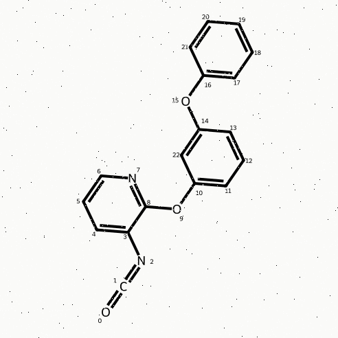 O=C=Nc1cccnc1Oc1cccc(Oc2ccccc2)c1